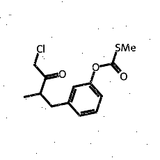 CSC(=O)Oc1cccc(CC(C)C(=O)CCl)c1